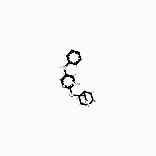 c1ccc(Oc2cnc(OC3CN4CCC3CC4)nc2)cc1